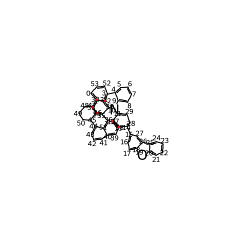 c1ccc(-c2ccccc2N(c2ccc(-c3ccc4oc5ccccc5c4c3)cc2)c2ccccc2-c2cccc3cccc(C4CCCCC4)c23)cc1